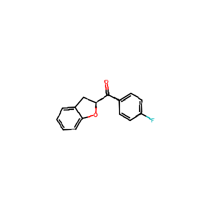 O=C(c1ccc(F)cc1)C1Cc2ccccc2O1